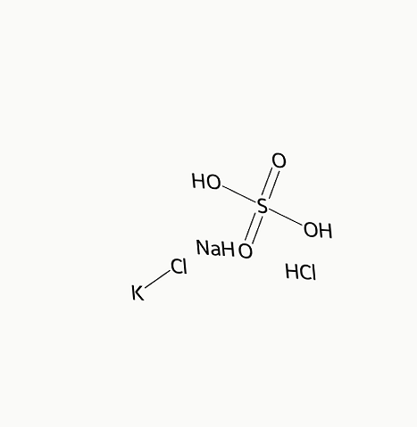 Cl.O=S(=O)(O)O.[Cl][K].[NaH]